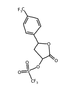 O=C1OC(c2ccc(C(F)(F)F)cc2)CC1OS(=O)(=O)C(F)(F)F